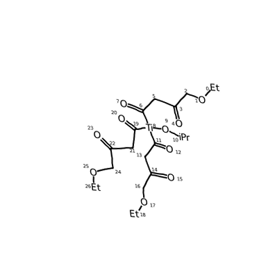 CCOCC(=O)C[C](=O)[Ti]([O]C(C)C)([C](=O)CC(=O)COCC)[C](=O)CC(=O)COCC